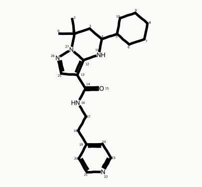 CC1(C)CC(C2CCCCC2)Nc2c(C(=O)NCCc3ccncc3)cnn21